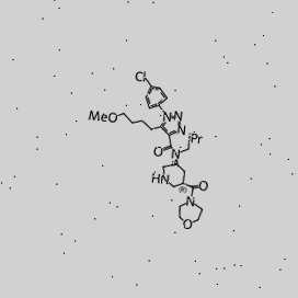 COCCCCc1c(C(=O)N(CC(C)C)[C@@H]2CNC[C@H](C(=O)N3CCOCC3)C2)nnn1-c1ccc(Cl)cc1